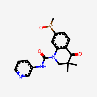 C[S+]([O-])c1ccc2c(c1)N(C(=O)Nc1cccnc1)CC(C)(C)C2=O